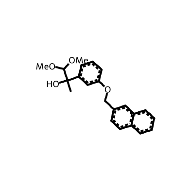 COC(OC)C(C)(O)c1cccc(OCc2ccc3ccccc3c2)c1